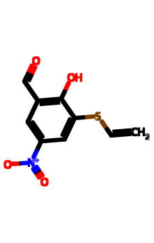 C=CSc1cc([N+](=O)[O-])cc(C=O)c1O